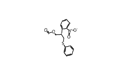 O=[C]OCC(CSc1ccccc1)c1ccccc1[N+](=O)[O-]